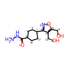 NNC(=O)C1CCC(c2noc(CO)c2CO)CC1